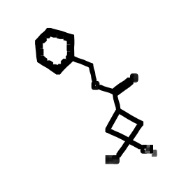 CC1(O)CC(C(=O)OCc2ccccc2)C1